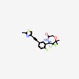 Cc1nc(C#Cc2ccc(F)c([C@@]3(C)NC(=O)COC(C)(C)C3(F)F)c2)cs1